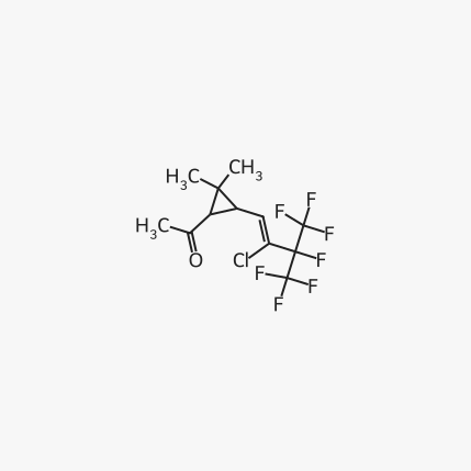 CC(=O)C1C(C=C(Cl)C(F)(C(F)(F)F)C(F)(F)F)C1(C)C